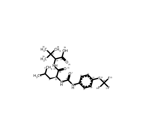 CC(C)C[C@H](NC(=O)Nc1ccc(SC(F)(F)F)cc1)C(=O)NC(C(=O)O)C(C)(C)C